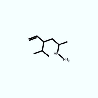 C=CC(CC(C)PN)C(C)C